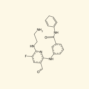 NCCNc1nc(Nc2cccc(C(=O)NC3=C=CCC=C3)c2)c(C=O)cc1F